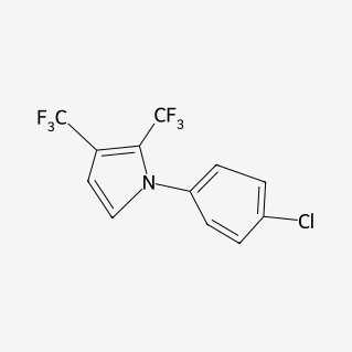 FC(F)(F)c1ccn(-c2ccc(Cl)cc2)c1C(F)(F)F